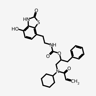 C=CC(=O)N(CC(Cc1ccccc1)OC(=O)NCCc1ccc(O)c2[nH]c(=O)sc12)C1CCCCC1